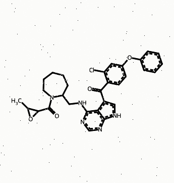 CC1OC1C(=O)N1CCCCCC1CNc1ncnc2[nH]cc(C(=O)c3ccc(Oc4ccccc4)cc3Cl)c12